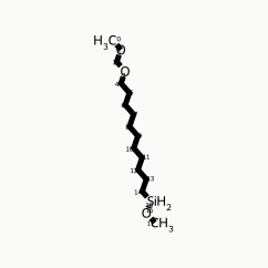 COCOCCCCCCCCCCC[SiH2]OC